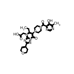 CCc1c(N2CCN(C(=O)c3ncnc(C)c3O)CC2)c(=O)n2nc(C3=CCOCC3)nc2n1CC(=O)O